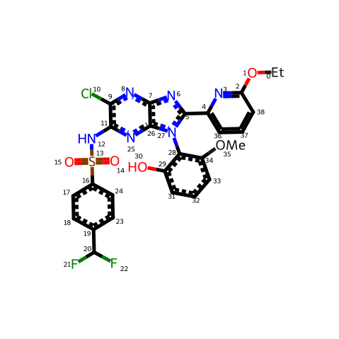 CCOC1=NC(c2nc3nc(Cl)c(NS(=O)(=O)c4ccc(C(F)F)cc4)nc3n2-c2c(O)cccc2OC)=C=C=C1